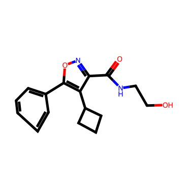 O=C(NCCO)c1noc(-c2ccccc2)c1C1CCC1